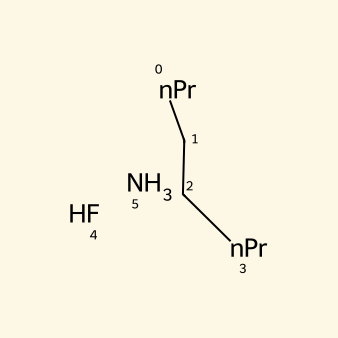 CCCCCCCC.F.N